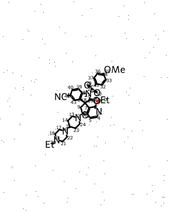 CCOc1ncccc1C1(CC(=O)N2CCC(N3CCN(CC)CC3)CC2)C(=O)N(S(=O)(=O)c2ccc(OC)cc2)c2ccc(C#N)cc21